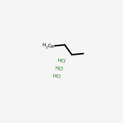 CC[CH2][GeH3].Cl.Cl.Cl